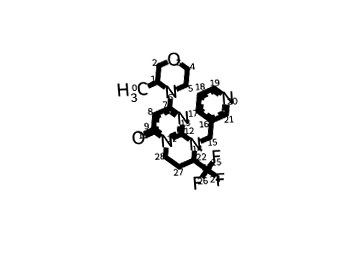 CC1COCCN1c1cc(=O)n2c(n1)N(Cc1cccnc1)C(C(F)(F)F)CC2